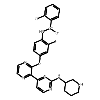 [O-][S+](Nc1ccc(Oc2nccnc2-c2ccnc(NC3CCCNC3)n2)cc1F)c1ccccc1Cl